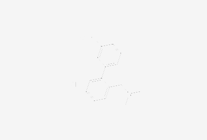 CN(C)Cc1ccccc1-c1cccc(C=O)c1.Cl